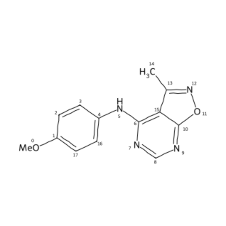 COc1ccc(Nc2ncnc3onc(C)c23)cc1